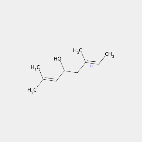 C/C=C(\C)CC(O)C=C(C)C